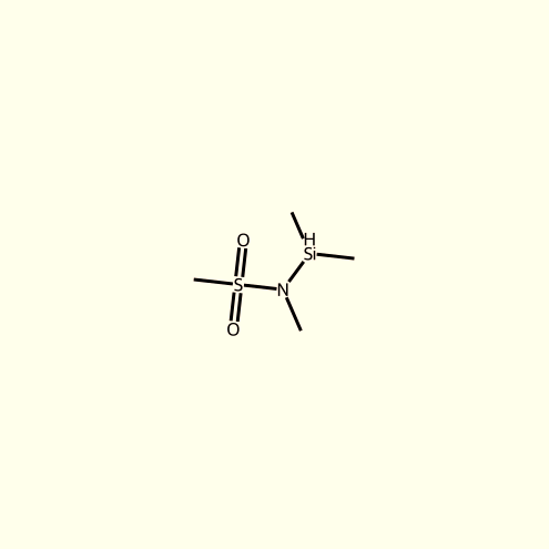 CN([SiH](C)C)S(C)(=O)=O